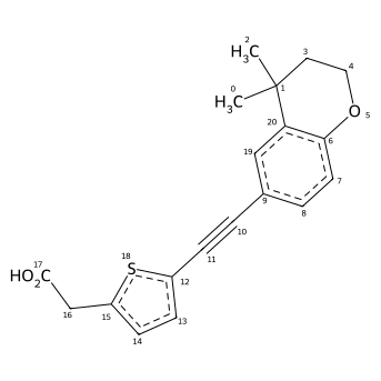 CC1(C)CCOc2ccc(C#Cc3ccc(CC(=O)O)s3)cc21